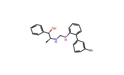 CC(C)c1cccc(-c2ccccc2PCN[C@@H](C)[C@H](O)c2ccccc2)c1